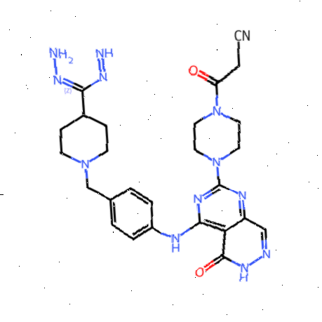 N#CCC(=O)N1CCN(c2nc(Nc3ccc(CN4CCC(/C(N=N)=N/N)CC4)cc3)c3c(=O)[nH]ncc3n2)CC1